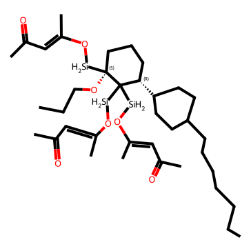 CCCCCCCC1CCC([C@H]2CCC[C@](OCCC)([SiH2]OC(C)=CC(C)=O)C2([SiH2]OC(C)=CC(C)=O)[SiH2]OC(C)=CC(C)=O)CC1